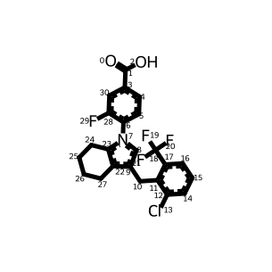 O=C(O)c1ccc(-n2cc(Cc3c(Cl)cccc3C(F)(F)F)c3c2CCCC3)c(F)c1